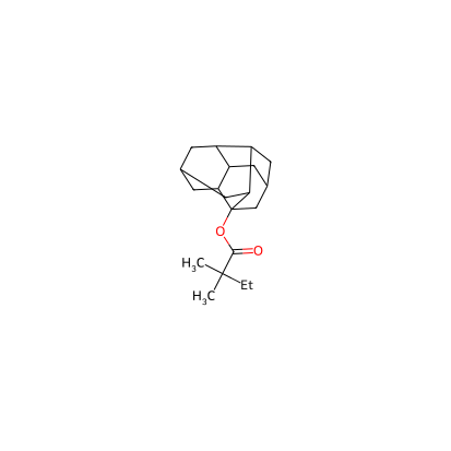 CCC(C)(C)C(=O)OC12CC3CC4C5CC(CC41)CC2C5C3